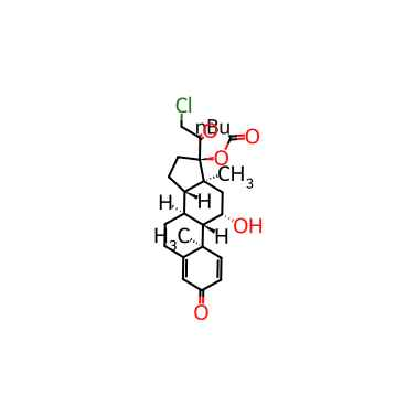 CCCCC(=O)O[C@]1(C(=O)CCl)CC[C@H]2[C@@H]3CCC4=CC(=O)C=C[C@]4(C)[C@H]3[C@@H](O)C[C@@]21C